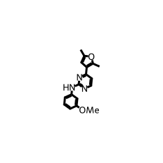 COc1cccc(Nc2nccc(-c3cc(C)oc3C)n2)c1